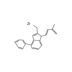 C=C(C)C=CC1C(CC)=Cc2c(-c3ccccc3)cccc21.[Zr]